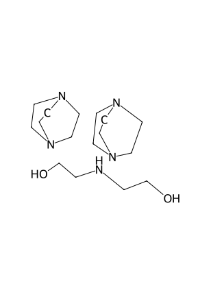 C1CN2CCN1CC2.C1CN2CCN1CC2.OCCNCCO